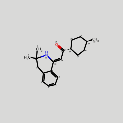 CC1(C)Cc2ccccc2C(=CC(=O)[C@H]2CC[C@H](C)CC2)N1